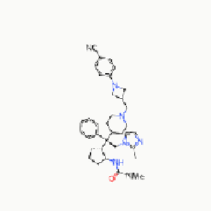 CNC(=O)N[C@H]1CCC[C@@H]1[C@](Cn1ccnc1C)(c1ccccc1)C1CCN(CC2CN(c3ccc(C#N)cc3)C2)CC1